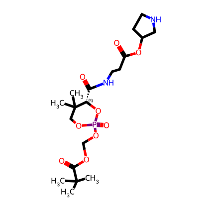 CC(C)(C)C(=O)OCOP1(=O)OCC(C)(C)[C@H](C(=O)NCCC(=O)OC2CCNC2)O1